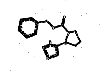 O=C(OCc1ccccc1)N1CCC[C@H]1c1cnc[nH]1